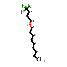 CCCCCCCCCOCCCC(F)(F)F